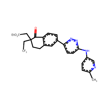 CCOC(=O)CC1(CC(F)(F)F)CCc2cc(-c3ccc(Nc4ccc(C)nc4)nn3)ccc2C1=O